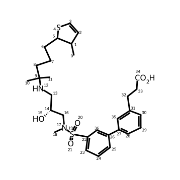 CC1C=CSC1CCCC(C)(C)NC[C@@H](O)CN(C)S(=O)(=O)c1cccc(-c2cccc(CCC(=O)O)c2)c1